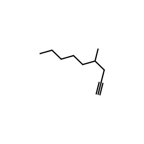 [C]#CCC(C)CCCCC